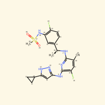 C[C@H](Nc1nc(Nc2cc(C3CC3)[nH]n2)c(F)cc1C#N)c1ccc(F)c(NS(C)(=O)=O)c1